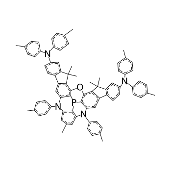 Cc1ccc(N(c2ccc(C)cc2)c2ccc3c(c2)C(C)(C)c2c-3cc3c4c2Oc2c5c(cc6c2C(C)(C)c2cc(N(c7ccc(C)cc7)c7ccc(C)cc7)ccc2-6)N(c2ccc(C)cc2)c2cc(C)cc(c2P45)N3c2ccc(C)cc2)cc1